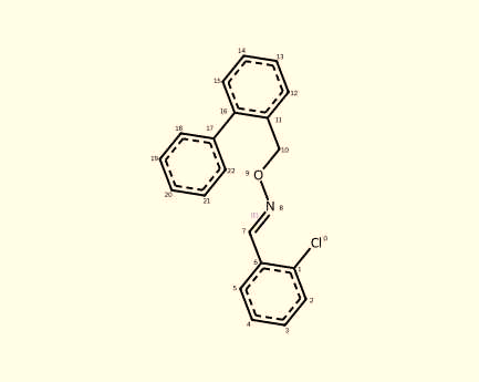 Clc1ccccc1/[C]=N/OCc1ccccc1-c1ccccc1